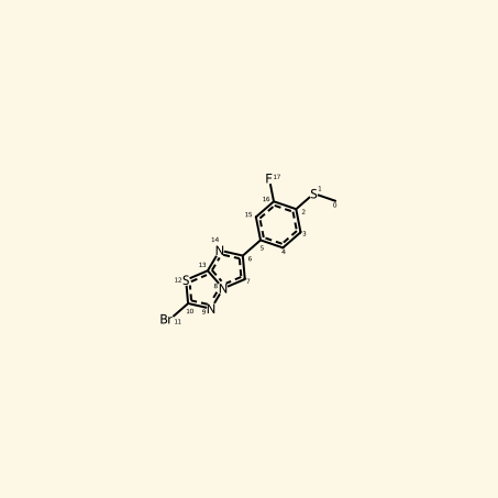 CSc1ccc(-c2cn3nc(Br)sc3n2)cc1F